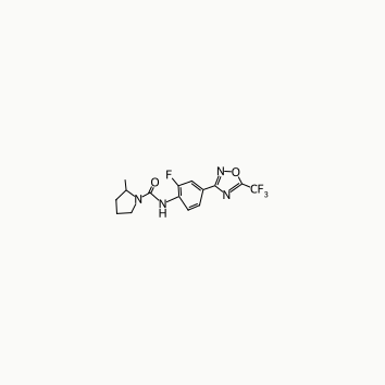 CC1CCCN1C(=O)Nc1ccc(-c2noc(C(F)(F)F)n2)cc1F